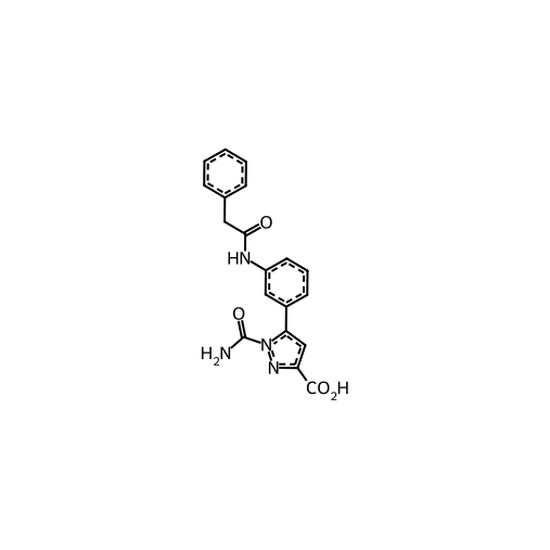 NC(=O)n1nc(C(=O)O)cc1-c1cccc(NC(=O)Cc2ccccc2)c1